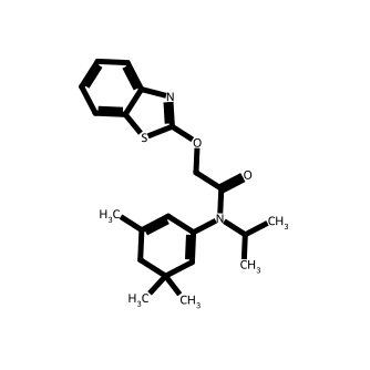 CC1=CC(N(C(=O)COc2nc3ccccc3s2)C(C)C)=CC(C)(C)C1